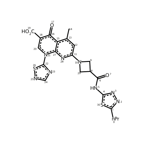 CCCc1nnc(NC(=O)C2CN(c3cc(C)c4c(=O)c(C(=O)O)cn(-c5ncns5)c4n3)C2)s1